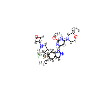 COc1nc(N2CCO[C@@H](C)C2)cc(-n2ncc3cc(C)c([C@@]4(S)CCN(C5COC5)CC4F)cc32)n1